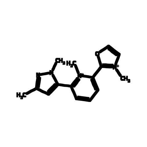 Cc1cc(-c2cccc(-c3occ[n+]3C)[n+]2C)n(C)n1